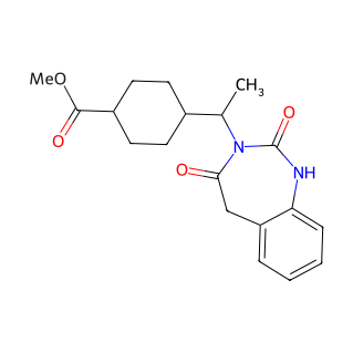 COC(=O)C1CCC(C(C)N2C(=O)Cc3ccccc3NC2=O)CC1